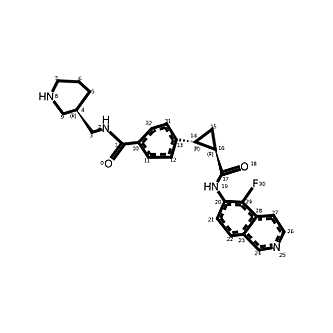 O=C(NC[C@@H]1CCCNC1)c1ccc([C@@H]2C[C@H]2C(=O)Nc2ccc3cnccc3c2F)cc1